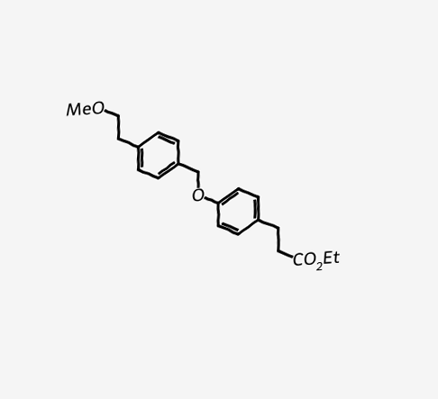 CCOC(=O)CCc1ccc(OCc2ccc(CCOC)cc2)cc1